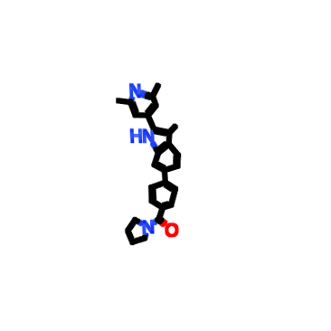 Cc1cc(-c2[nH]c3cc(-c4ccc(C(=O)N5CCCC5)cc4)ccc3c2C)cc(C)n1